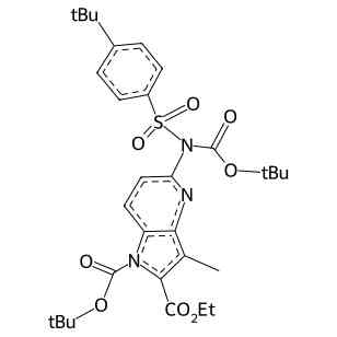 CCOC(=O)c1c(C)c2nc(N(C(=O)OC(C)(C)C)S(=O)(=O)c3ccc(C(C)(C)C)cc3)ccc2n1C(=O)OC(C)(C)C